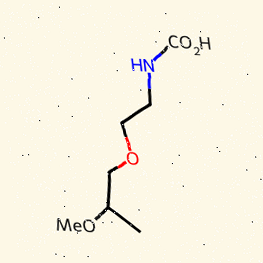 COC(C)COCCNC(=O)O